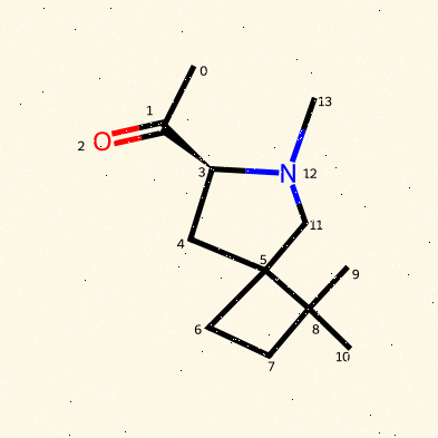 CC(=O)[C@@H]1CC2(CCC2(C)C)CN1C